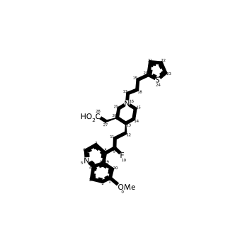 COc1ccc2nccc(C(F)CC[C@@H]3CCN(CCCc4cccs4)C[C@@H]3CC(=O)O)c2c1